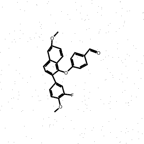 COc1ccc2c(Oc3ccc(C=O)cc3)c(-c3ccc(OC)c(F)c3)ccc2c1